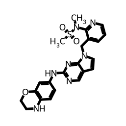 CN(c1ncccc1Cn1ccc2cnc(Nc3ccc4c(c3)OCCN4)nc21)S(C)(=O)=O